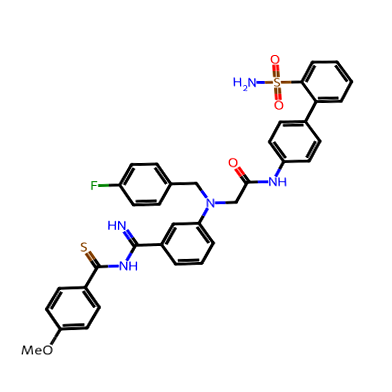 COc1ccc(C(=S)NC(=N)c2cccc(N(CC(=O)Nc3ccc(-c4ccccc4S(N)(=O)=O)cc3)Cc3ccc(F)cc3)c2)cc1